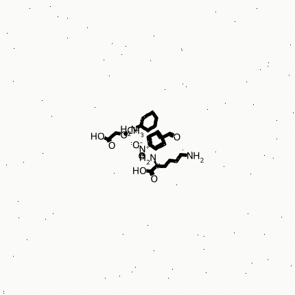 COCC(=O)O.NC1CCCCC1.NCCCC[C@H](N)C(=O)O.O=Cc1ccc([N+](=O)[O-])cc1